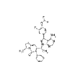 Cc1csc2cc(C(C)n3nc(-c4ccc(OC(F)F)c(F)c4)c4c(N)ncnc43)c(-c3ccccc3)c(=O)n12